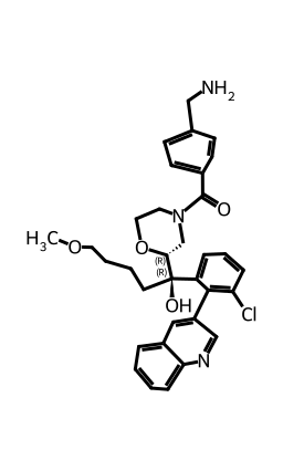 COCCCC[C@@](O)(c1cccc(Cl)c1-c1cnc2ccccc2c1)[C@H]1CN(C(=O)c2ccc(CN)cc2)CCO1